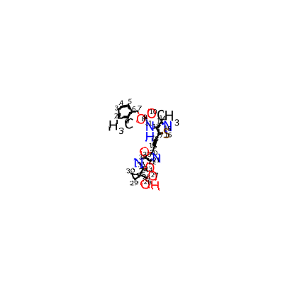 Cc1ccccc1COC(=O)Nc1c(C)nsc1C#Cc1nc2oc(C3(C(=O)O)CC3)nc2o1